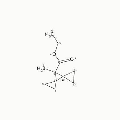 BC1(C(=O)OCC)C2(CC2)C12CC2